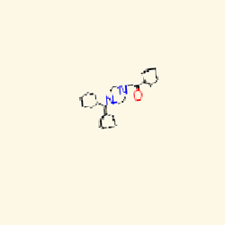 O=C(CN1CCN(C(c2ccccc2)C2CCCCC2)CC1)c1ccccc1